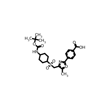 Cc1oc(-c2ccc(C(=O)O)cc2)nc1CS(=O)(=O)C1CCC(NC(=O)OC(C)(C)C)CC1